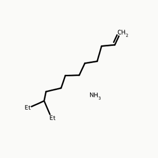 C=CCCCCCCCC(CC)CC.N